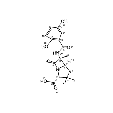 CC1(C)S[C@H]2N(C(=O)[C@]2(C)NC(=O)c2cc(O)ccc2O)[C@H]1C(=O)O